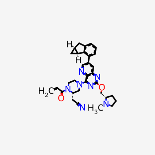 C=CC(=O)N1CCN(c2nc(OC[C@@H]3CCCN3C)nc3cc(-c4cccc5c4[C@H]4C[C@H]4C5)cnc23)C[C@@H]1CC#N